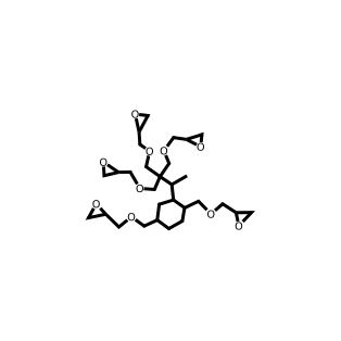 CC(C1CC(COCC2CO2)CCC1COCC1CO1)C(COCC1CO1)(COCC1CO1)COCC1CO1